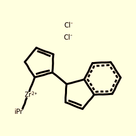 C[CH](C)[Zr+2][C]1=C(C2C=Cc3ccccc32)C=CC1.[Cl-].[Cl-]